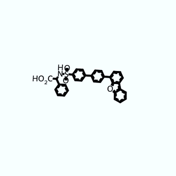 O=C(O)C(NS(=O)(=O)c1ccc(-c2ccc(-c3cccc4c3oc3ccccc34)cc2)cc1)c1ccccc1